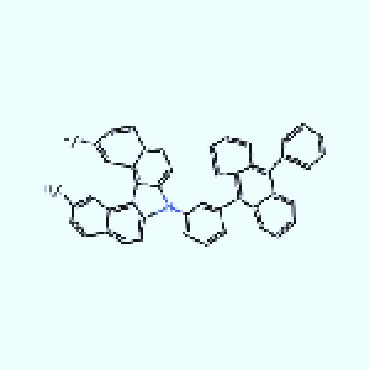 Cc1ccc2ccc3c(c2c1)c1c2cc(C)ccc2ccc1n3-c1cccc(-c2c3ccccc3c(-c3ccccc3)c3ccccc23)c1